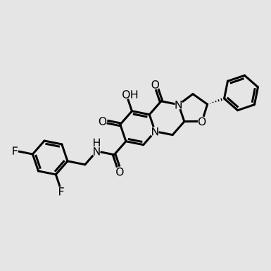 O=C(NCc1ccc(F)cc1F)c1cn2c(c(O)c1=O)C(=O)N1C[C@H](c3ccccc3)OC1C2